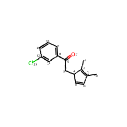 CC1=C(C)C(CC(=O)c2cccc(Cl)c2)C=C1